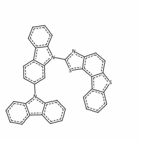 c1ccc2c(c1)sc1ccc3nc(-n4c5ccccc5c5ccc(-n6c7ccccc7c7ccccc76)cc54)sc3c12